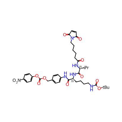 CC(C)[C@H](NC(=O)CCCCCN1C(=O)C=CC1=O)C(=O)N[C@@H](CCCCNC(=O)OC(C)(C)C)C(=O)Nc1ccc(COC(=O)Oc2ccc([N+](=O)[O-])cc2)cc1